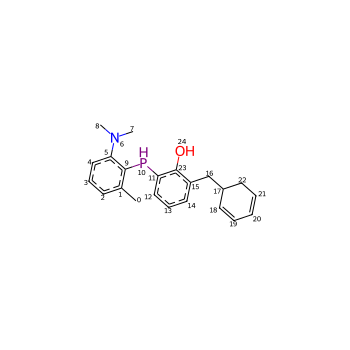 Cc1cccc(N(C)C)c1Pc1cccc(CC2C=CC=CC2)c1O